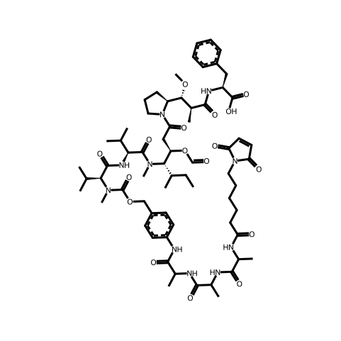 CCC(C)[C@@H]([C@@H](CC(=O)N1CCC[C@H]1[C@H](OC)[C@H](C)C(=O)N[C@@H](Cc1ccccc1)C(=O)O)OC=O)N(C)C(=O)[C@@H](NC(=O)[C@H](C(C)C)N(C)C(=O)OCc1ccc(NC(=O)C(C)NC(=O)C(C)NC(=O)C(C)NC(=O)CCCCCN2C(=O)C=CC2=O)cc1)C(C)C